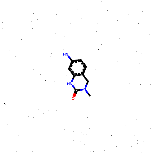 CN1Cc2ccc([NH])cc2NC1=O